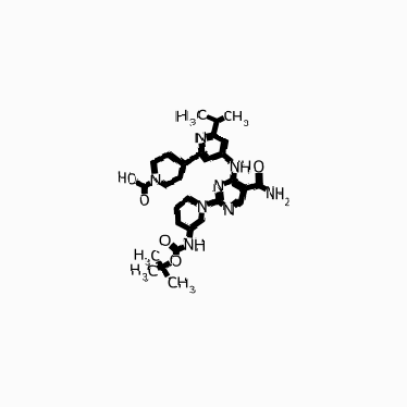 CC(C)c1cc(Nc2nc(N3CCCC(NC(=O)OC(C)(C)C)C3)ncc2C(N)=O)cc(C2CCN(C(=O)O)CC2)n1